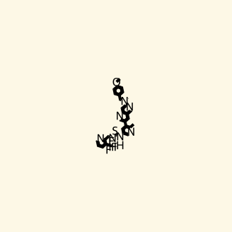 COc1ccc(CN(C)c2cc3ncc(-c4cc(NC(=S)NCc5ncccc5C(F)(F)F)cnc4C)cc3cn2)cc1